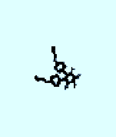 C=CCCc1ccc(-c2c(F)c(F)c(F)c(F)c2-c2ccc(CCC=C)cc2)cc1